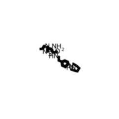 Cc1cnc2c(N)c(C(=O)NCCc3ccc(N4CC5CCC(C4)N5)cc3)sc2n1